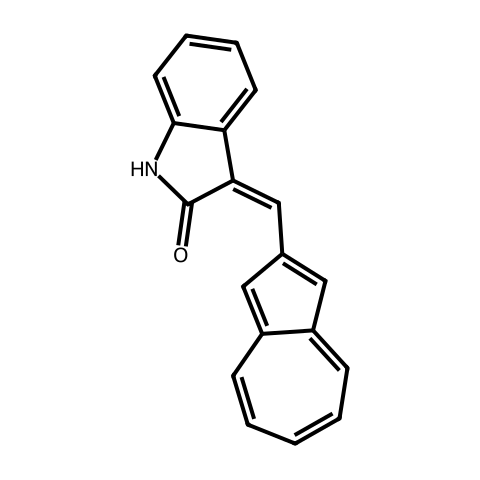 O=C1Nc2ccccc2/C1=C/c1cc2cccccc-2c1